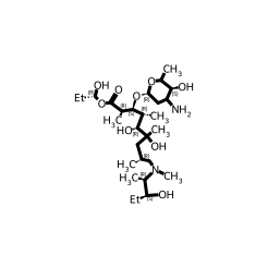 CC[C@H](O)OC(=O)[C@H](C)[C@@H](O[C@H]1CC(N)[C@H](O)C(C)O1)[C@H](C)[C@@H](O)C(C)(O)C[C@@H](C)CN(C)[C@H](C)[C@@H](O)CC